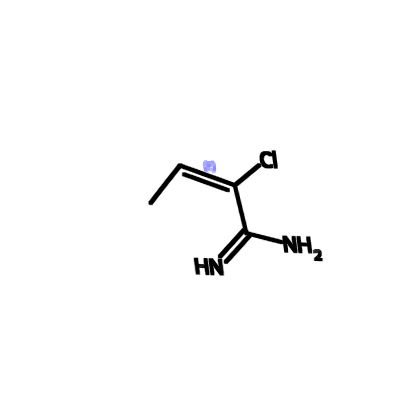 C/C=C(/Cl)C(=N)N